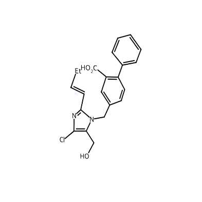 CC/C=C/c1nc(Cl)c(CO)n1Cc1ccc(-c2ccccc2)c(C(=O)O)c1